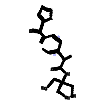 C=C(/C=C\C(=C/C)C(C)C(=O)NC(CO)(CO)CO)C(=O)c1cccs1